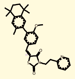 COc1ccc(/C=C2/SC(=O)N(CCc3ccccn3)C2=O)cc1-c1cc2c(cc1C)C(C)(C)CCC2(C)C